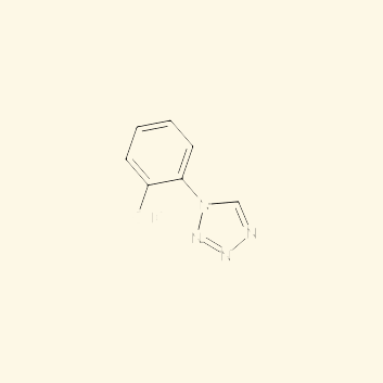 O=Cc1ccccc1-n1cnnn1